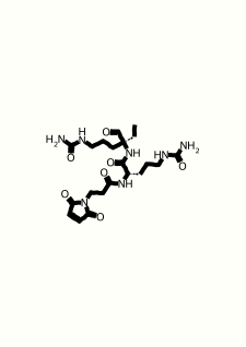 CC[C@@](C=O)(CCCNC(N)=O)NC(=O)[C@H](CCCNC(N)=O)NC(=O)CCN1C(=O)C=CC1=O